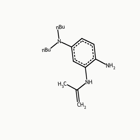 C=C(C)Nc1cc(N(CCCC)CCCC)ccc1N